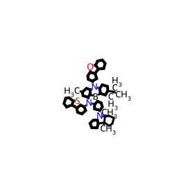 Cc1cc2c3c(c1)N(c1cccc4c1sc1ccccc14)c1cc(N4c5ccccc5C5(C)CCCCC45C)ccc1B3c1cc(C(C)(C)C)ccc1N2c1ccc2oc3ccccc3c2c1